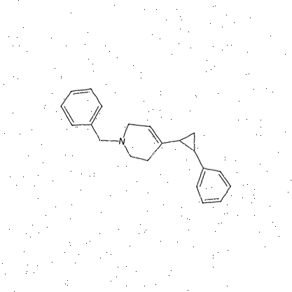 C1=C(C2CC2c2ccccc2)CCN(Cc2ccccc2)C1